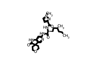 CCC[C@H](C)CC[C@H](NC(=O)c1ccn(C)n1)C(=O)Nc1cc2c(cn1)C1(CCOCC1)C(=O)N2